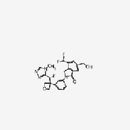 Cn1cnnc1[C@H](F)C1(c2cccc(N3Cc4c(cc(CO)cc4C(F)F)C3=O)c2)COC1